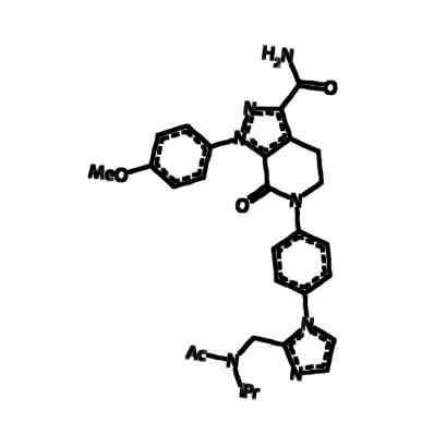 COc1ccc(-n2nc(C(N)=O)c3c2C(=O)N(c2ccc(-n4ccnc4CN(C(C)=O)C(C)C)cc2)CC3)cc1